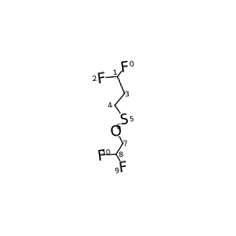 FC(F)CCSOCC(F)F